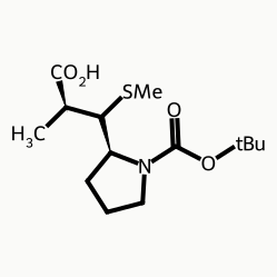 CSC([C@@H](C)C(=O)O)[C@@H]1CCCN1C(=O)OC(C)(C)C